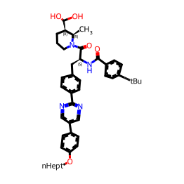 CCCCCCCOc1ccc(-c2cnc(-c3ccc(C[C@H](NC(=O)c4ccc(C(C)(C)C)cc4)C(=O)N4CCC[C@@H](C(O)O)[C@H]4C)cc3)nc2)cc1